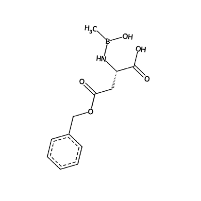 CB(O)N[C@@H](CC(=O)OCc1ccccc1)C(=O)O